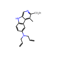 C=CCN(CC=C)c1ccc2[nH]c3cnc(C(=O)OCC)c(C)c3c2c1